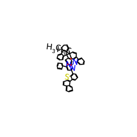 CC1CC=CC2=C1c1ccccc1C2(c1ccccc1)C1(C)C=Cc2c(n(-c3nc(-c4ccccc4)cc(-c4cccc5c4sc4ccc6ccccc6c45)n3)c3ccccc23)C1